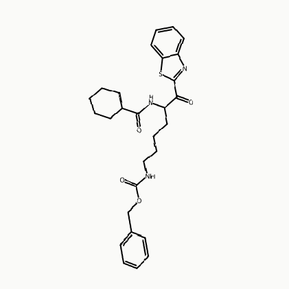 O=C(NCCCCC(NC(=O)C1CCCCC1)C(=O)c1nc2ccccc2s1)OCc1ccccc1